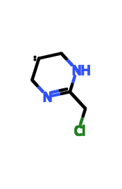 ClCC1=NC[C]CN1